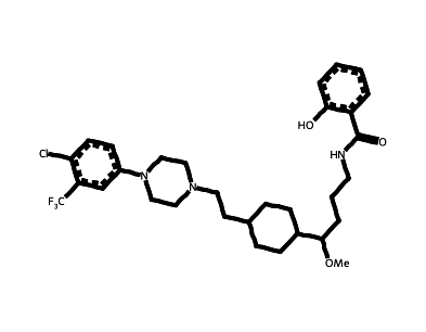 COC(CCCNC(=O)c1ccccc1O)C1CCC(CCN2CCN(c3ccc(Cl)c(C(F)(F)F)c3)CC2)CC1